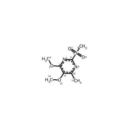 COc1nc(S(C)(=O)=O)nc(C)c1OC